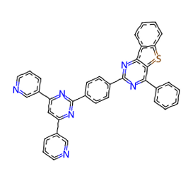 c1ccc(-c2nc(-c3ccc(-c4nc(-c5cccnc5)cc(-c5cccnc5)n4)cc3)nc3c2sc2ccccc23)cc1